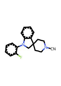 N#CN1CCC2(CC1)CN(c1ccccc1F)c1ccccc12